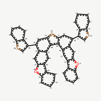 c1ccc2c(c1)oc1cc3c(-c4csc5ccccc45)cc4sc5cc(-c6csc7ccccc67)c6cc7oc8ccccc8c7cc6c5c4c3cc12